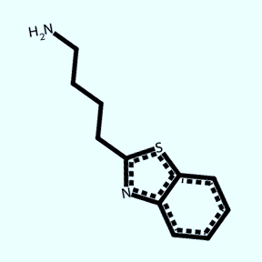 NCCCCc1nc2ccccc2s1